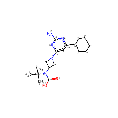 CC(C)(C)N(C(=O)O)C1CN(c2cc(C3CCCCC3)nc(N)n2)C1